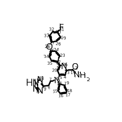 NC(=O)c1cc(N(CCc2nn[nH]n2)c2ccccc2)cc(-c2ccc(Oc3ccc(F)cc3)cc2)n1